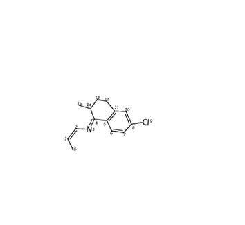 C/C=C\N=C1\c2ccc(Cl)cc2CCC1C